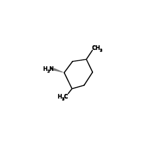 CC1CCC(C)[C@H](N)C1